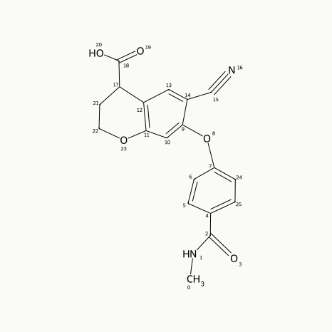 CNC(=O)c1ccc(Oc2cc3c(cc2C#N)C(C(=O)O)CCO3)cc1